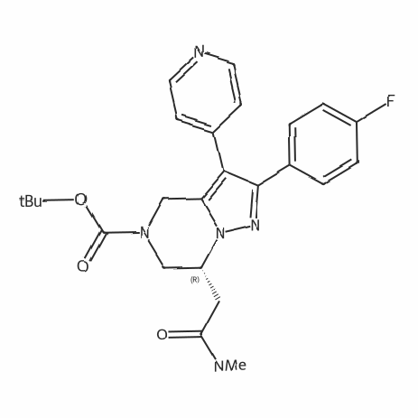 CNC(=O)C[C@@H]1CN(C(=O)OC(C)(C)C)Cc2c(-c3ccncc3)c(-c3ccc(F)cc3)nn21